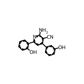 N#Cc1c(-c2cccc(O)c2)cc(-c2ccccc2O)nc1N